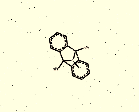 CCCC12c3ccccc3C(CCC)(c3ccccc31)N2C